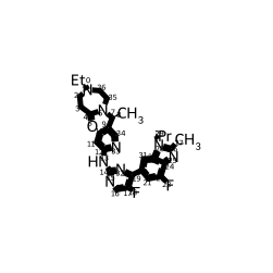 CCN1CCC(=O)N([C@H](C)c2ccc(Nc3ncc(F)c(-c4cc(F)c5nc(C)n(C(C)C)c5c4)n3)nc2)CC1